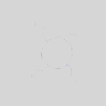 CCN1CCCN(CCO)CCN(CCO)CCCN(CCO)CC1